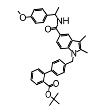 COc1ccc(C(C)NC(=O)c2ccc3c(c2)c(C)c(C)n3Cc2ccc(-c3ccccc3C(=O)OC(C)(C)C)cc2)cc1